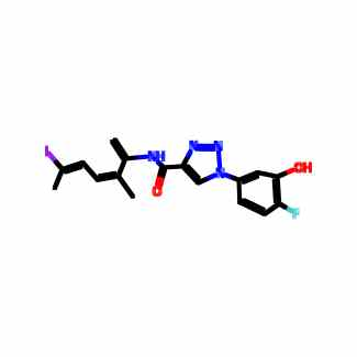 C=C(NC(=O)c1cn(-c2ccc(F)c(O)c2)nn1)/C(C)=C\C=C(/C)I